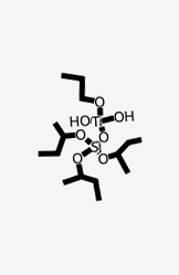 CCC[O][Ti]([OH])([OH])[O][Si](OC(C)CC)(OC(C)CC)OC(C)CC